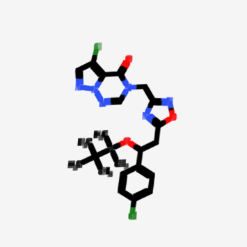 CC(C)(C)[Si](C)(C)OC(Cc1nc(Cn2cnn3ncc(Cl)c3c2=O)no1)c1ccc(Cl)cc1